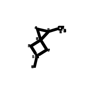 CN1CC2(CC2C(F)(F)F)C1